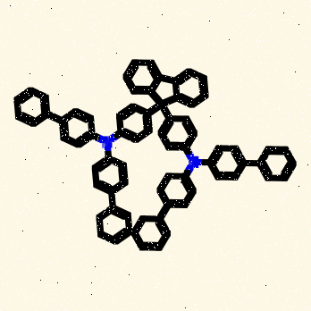 C1=CCCC(C2=CC=C(N(c3ccc(-c4ccccc4)cc3)c3ccc(C4(c5ccc(N(c6ccc(C7=CC=CCC7)cc6)c6ccc(-c7ccccc7)cc6)cc5)c5ccccc5-c5ccccc54)cc3)CC2)=C1